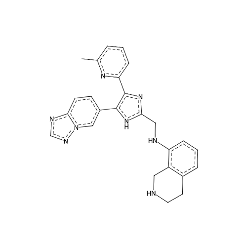 Cc1cccc(-c2nc(CNc3cccc4c3CNCC4)[nH]c2-c2ccc3ncnn3c2)n1